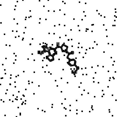 CN(C)c1nc(NC2CCN(C(=O)Cc3ccc(OC(F)(F)F)cc3)C2)nc2ccsc12